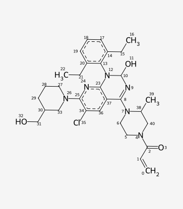 C=CC(=O)N1CCN(C2=NC(O)N(c3c(CC)cccc3CC)c3nc(N4CCCC(CO)C4)c(Cl)cc32)C(C)C1